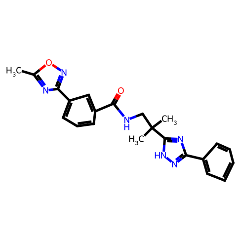 Cc1nc(-c2cccc(C(=O)NCC(C)(C)c3nc(-c4ccccc4)n[nH]3)c2)no1